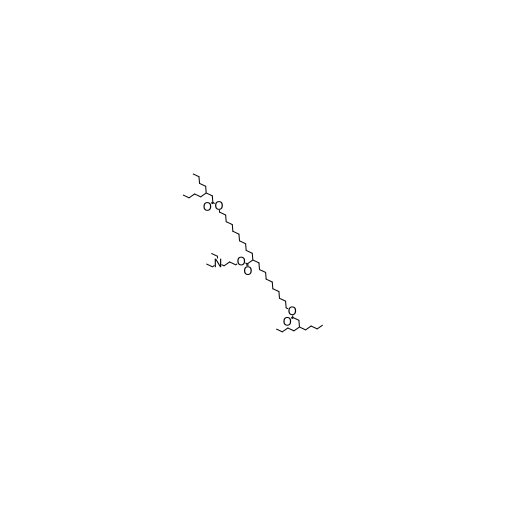 CCCCC(CCCC)CC(=O)OCCCCCCCCCCC(CCCCCCCCCCOC(=O)CC(CCCC)CCCC)C(=O)OCCCN(CC)CC